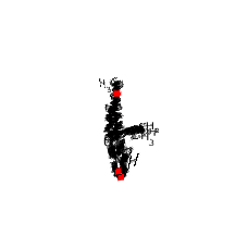 COCCOCCOC(=O)c1ccc(N2CCN(C(=O)[C@@H](Cc3cc(C)c(O)c(C)c3)OC(=O)N3CCC(N4CCc5ccccc5NC4=O)CC3)CC2)cc1